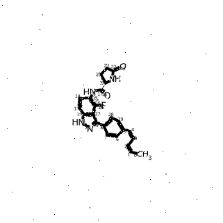 C/C=C\C=C/c1ccc(-c2n[nH]c3ccc(NC(=O)[C@@H]4CCC(=O)N4)c(F)c23)cc1